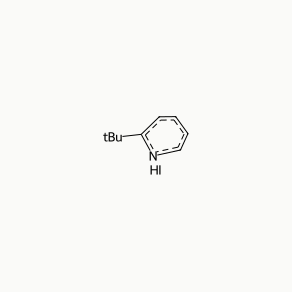 CC(C)(C)c1ccccn1.I